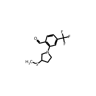 CSC1CCN(c2cc(C(F)(F)F)ccc2C=O)C1